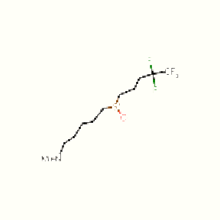 CNCCCCC[S+]([O-])CCCC(F)(F)C(F)(F)F